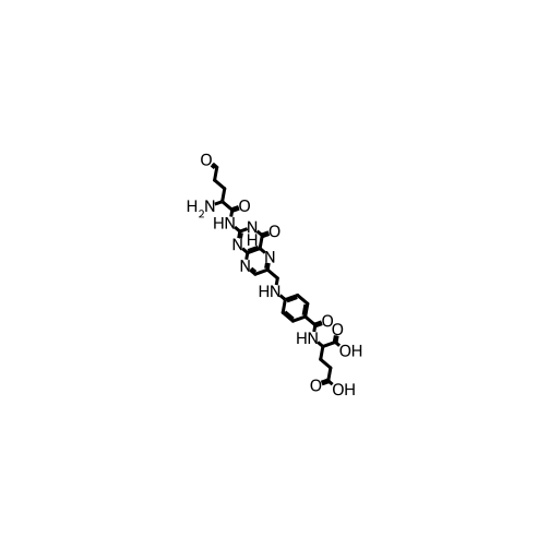 NC(CCC=O)C(=O)Nc1nc2ncc(CNc3ccc(C(=O)NC(CCC(=O)O)C(=O)O)cc3)nc2c(=O)[nH]1